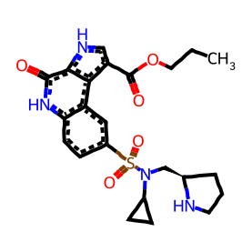 CCCOC(=O)c1c[nH]c2c(=O)[nH]c3ccc(S(=O)(=O)N(C[C@H]4CCCN4)C4CC4)cc3c12